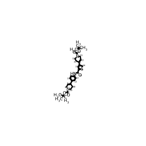 CC(C)(C)OC(=O)N1CC=C(c2ccc(NC(=O)c3cc(C4=CCN(C(=O)OC(C)(C)C)CC4)cs3)cc2)CC1